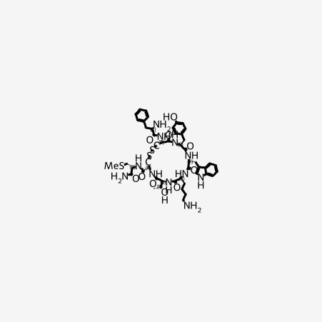 CSC[C@H](NC(=O)[C@@H]1CSSC[C@H](NC(=O)[C@H](N)Cc2ccccc2)C(=O)N[C@@H](Cc2ccc(O)cc2)C(=O)N[C@H](Cc2c[nH]c3ccccc23)C(=O)N[C@@H](CCCCN)C(=O)N[C@@H]([C@@H](C)O)C(=O)N1)C(N)=O